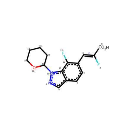 O=C(O)/C(F)=C/c1ccc2cnn(C3CCCCO3)c2c1F